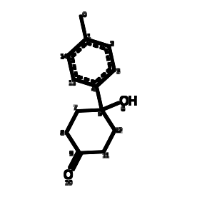 Cc1ccc(C2(O)CCC(=O)CC2)cc1